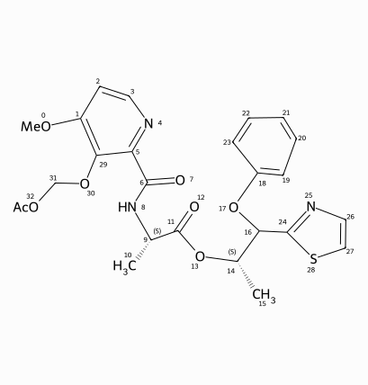 COc1ccnc(C(=O)N[C@@H](C)C(=O)O[C@@H](C)C(Oc2ccccc2)c2nccs2)c1OCOC(C)=O